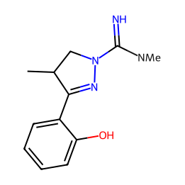 CNC(=N)N1CC(C)C(c2ccccc2O)=N1